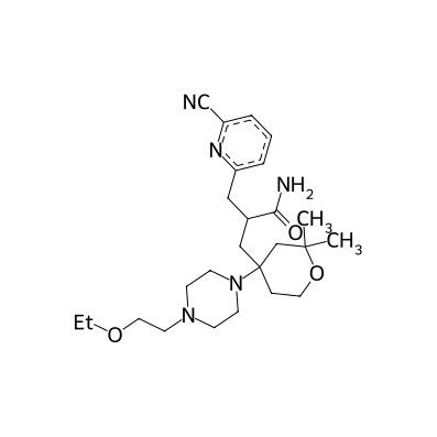 CCOCCN1CCN(C2(CC(Cc3cccc(C#N)n3)C(N)=O)CCOC(C)(C)C2)CC1